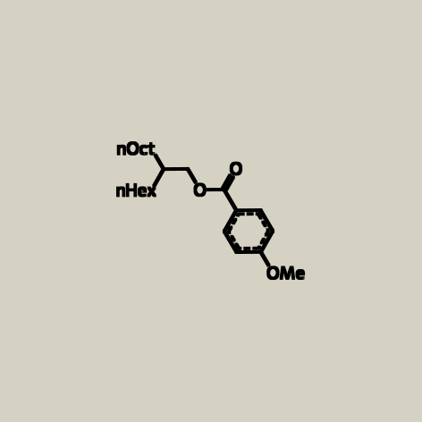 CCCCCCCCC(CCCCCC)COC(=O)c1ccc(OC)cc1